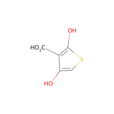 O=C(O)c1c(O)csc1O